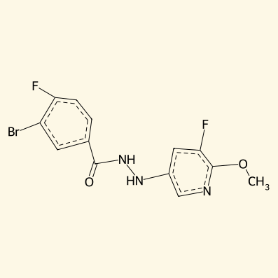 COc1ncc(NNC(=O)c2ccc(F)c(Br)c2)cc1F